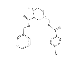 C[C@@H]1CO[C@H](CNC(=O)c2ccc(O)cc2)CN1C(=O)OCc1ccccc1